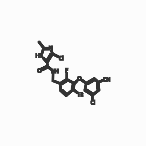 CCc1ccc(CNC(=O)c2[nH]c(C)nc2Cl)c(F)c1Oc1cc(Cl)cc(C#N)c1